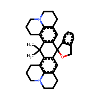 CC1(C)c2c(cc3c4c2CCCN4CCC3)C2(OCc3ccccc32)c2cc3c4c(c21)CCCN4CCC3